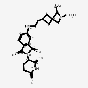 CC(C)(C)C1N(C(=O)O)CC12CC(CCNc1ccc3c(c1)C(=O)N(C1CCC(=O)NC1=O)C3=O)C2